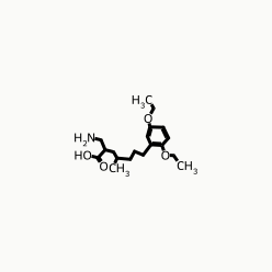 CCOc1ccc(OCC)c(CCCC(C)CC(CN)C(=O)O)c1